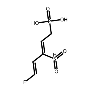 O=[SH](=O)C(C=CF)=CCP(=O)(O)O